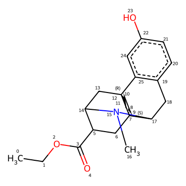 CCOC(=O)C1C[C@@]23CCCC[C@]24CC1N(C)C3Cc1ccc(O)cc14